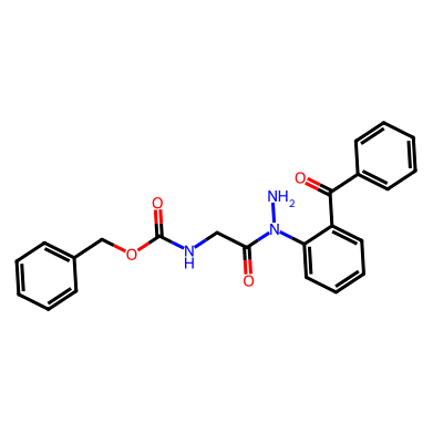 NN(C(=O)CNC(=O)OCc1ccccc1)c1ccccc1C(=O)c1ccccc1